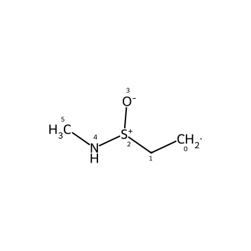 [CH2]C[S+]([O-])NC